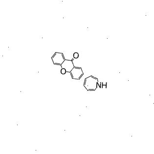 C1=CC=CNC=C1.O=c1c2ccccc2oc2ccccc12